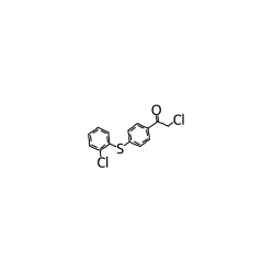 O=C(CCl)c1ccc(Sc2ccccc2Cl)cc1